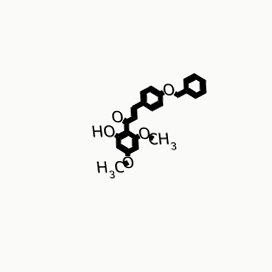 COc1cc(O)c(C(=O)C=Cc2ccc(OCc3ccccc3)cc2)c(OC)c1